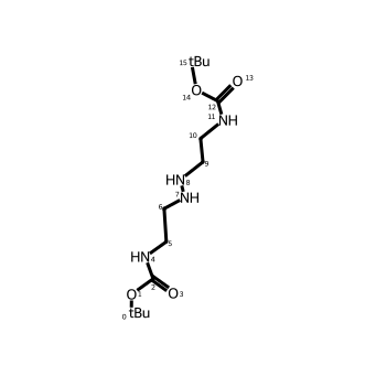 CC(C)(C)OC(=O)NCCNNCCNC(=O)OC(C)(C)C